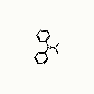 C[N](C)[Pd]([c]1ccccc1)[c]1ccccc1